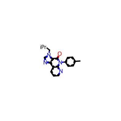 Cc1ccc(-n2c(=O)c3c(ncn3CC(C)C)c3cccnc32)cc1